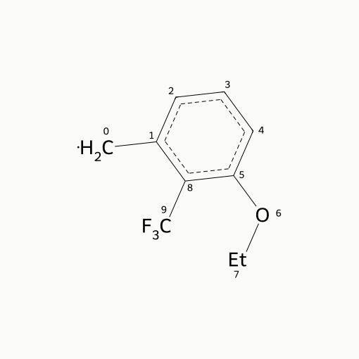 [CH2]c1cccc(OCC)c1C(F)(F)F